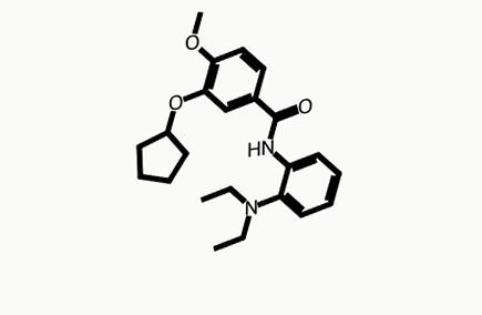 CCN(CC)c1ccccc1NC(=O)c1ccc(OC)c(OC2CCCC2)c1